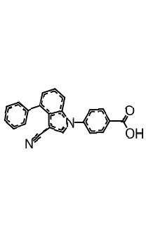 N#Cc1cn(-c2ccc(C(=O)O)cc2)c2cccc(-c3ccccc3)c12